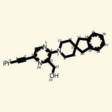 CC(C)C#Cc1cnc(N2CCC3(CC2)Cc2ccccc2C3)c(CO)n1